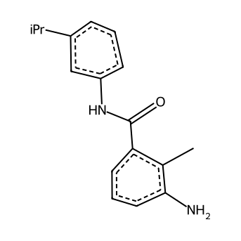 Cc1c(N)cccc1C(=O)Nc1cccc(C(C)C)c1